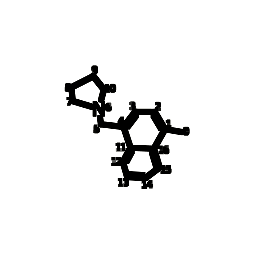 Cc1ccc(CN2CCCC2)c2ccccc12